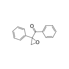 O=C(c1ccccc1)C1(c2ccccc2)CO1